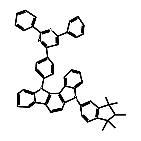 CC1C(C)(C)c2ccc(-n3c4ccccc4c4c3ccc3c5ccccc5n(-c5ccc(-c6cc(-c7ccccc7)nc(-c7ccccc7)n6)cc5)c34)cc2C1(C)C